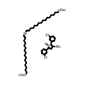 CCCCC1=C(c2cccc(CC)c2)[N+](=[N-])C(c2cccc(CC)c2)=C1.CCCCCCCCCCCCCCCCCCCCCCCCC=[CH][Ni][CH]=CCCCCCCCCCCCCCCCCCCCCCCCC